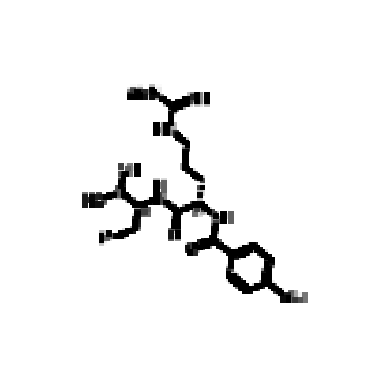 CCCCc1ccc(C(=O)N[C@@H](CCCNC(=N)NC)C(=O)N[C@@H](CC(C)C)B(O)O)cc1